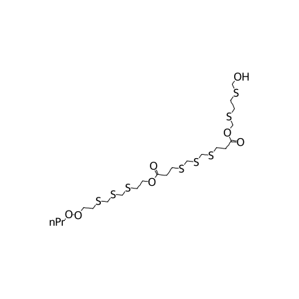 CCCOOCCSCSCSCCOC(=O)CCSCSCSCCC(=O)OCSCCSCO